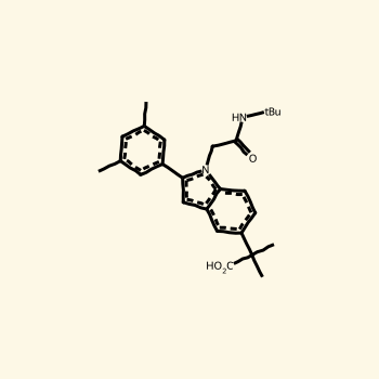 Cc1cc(C)cc(-c2cc3cc(C(C)(C)C(=O)O)ccc3n2CC(=O)NC(C)(C)C)c1